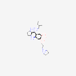 CCC(C)CNc1c2c(nc3cc(OCCCN4CCCC4)c(OC)cc13)CCC2